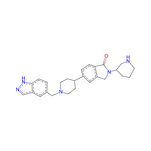 O=C1c2ccc(C3CCN(Cc4ccc5[nH]ncc5c4)CC3)cc2CN1C1CCCNC1